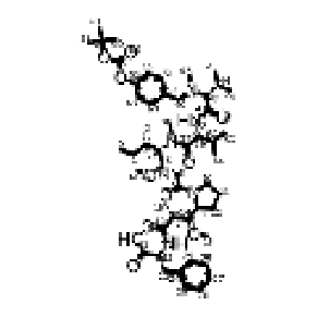 CC[C@H](C)[C@@H]([C@H](CC(=O)N1CCCC1[C@H](OC)[C@@H](C)C(=O)N[C@@H](Cc1ccccc1)C(=O)O)OC)N(C)C(=O)[C@@H](NC(=O)[C@H](C(C)C)N(C)Cc1ccc(OC(=O)OC(C)(C)C)cc1)C(C)C